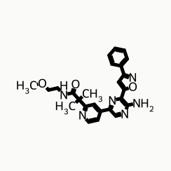 COCCNC(=O)C(C)(C)c1cc(-c2cnc(N)c(-c3cc(-c4ccccc4)no3)n2)ccn1